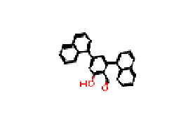 O=Cc1c(O)cc(-c2cccc3ccccc23)cc1-c1cccc2ccccc12